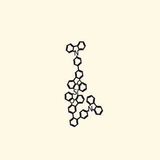 c1ccc([Si](c2ccccc2)(c2cccc3c2oc2ccc(-c4ccc(-n5c6ccccc6c6ccccc65)cc4)cc23)c2cccc3c2oc2ccc(-c4ccccc4-c4ccc(-n5c6ccccc6c6ccccc65)cc4)cc23)cc1